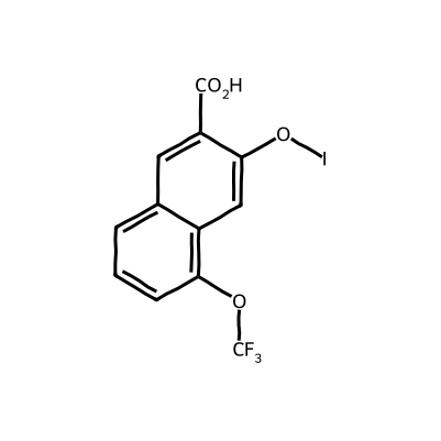 O=C(O)c1cc2cccc(OC(F)(F)F)c2cc1OI